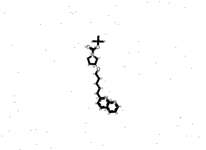 CC(C)(C)OC(=O)N1CC[C@@H](OCCCCCc2ccc3cccnc3n2)C1